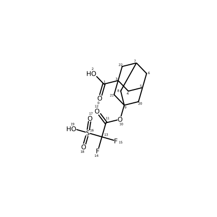 O=C(O)C12CC3CC(CC(OC(=O)C(F)(F)S(=O)(=O)O)(C3)C1)C2